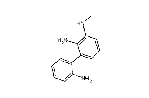 CNc1cccc(-c2ccccc2N)c1N